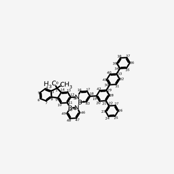 CC1(C)c2ccccc2-c2cc3c(cc21)N1C=CC(c2cc(-c4ccccc4)cc(-c4ccc(-c5ccccc5)cc4)c2)=CB1N1C=CC=CB31